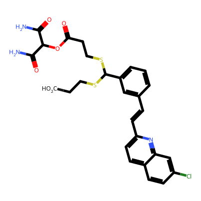 NC(=O)C(OC(=O)CCSC(SCCC(=O)O)c1cccc(C=Cc2ccc3ccc(Cl)cc3n2)c1)C(N)=O